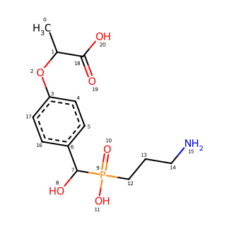 CC(Oc1ccc(C(O)P(=O)(O)CCCN)cc1)C(=O)O